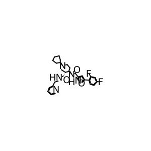 O=C(N[C@@H]1CCN(C2CCCCC2)C[C@H]1C(=O)NCCc1ccccn1)c1cc(-c2ccc(F)cc2F)on1